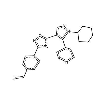 O=Cc1ccc(-c2noc(-c3cnn(C4CCCCC4)c3-c3ccncc3)n2)cc1